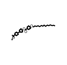 CCCCCCCCCCCCCCCOc1ccc(C(=O)Oc2ccc(-c3ccc(C(C)OCC)cc3)cc2)cc1